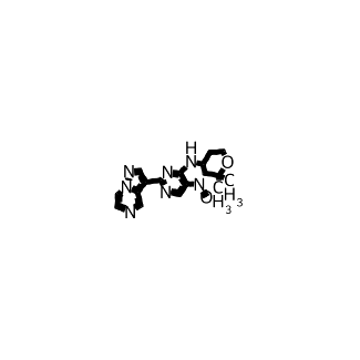 CC1(C)CC(Nc2nc(-c3cnn4ccncc34)ncc2N=O)CCO1